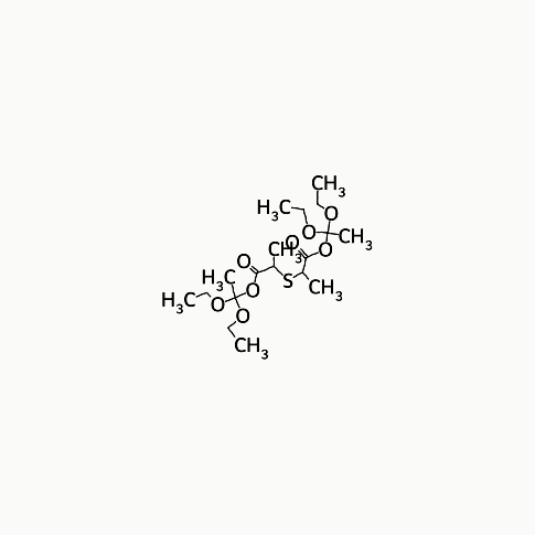 CCOC(C)(OCC)OC(=O)C(C)SC(C)C(=O)OC(C)(OCC)OCC